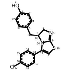 Oc1ccc(C[C@H]2CN=C3SC=C(c4ccc(Cl)cc4)N32)cc1